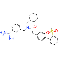 CS(=O)(=O)c1ccccc1-c1ccc(CC(=O)N(Cc2cccc(C(=N)N)c2)CC2CCCCC2)cc1